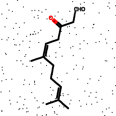 CC(C)=CCCC(C)=CCC(=O)CC=O